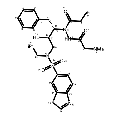 CNCC(=O)NN(C(=O)CC(C)C)[C@@H](Cc1ccccc1)[C@H](O)CN(CC(C)C)S(=O)(=O)c1ccc2ncsc2c1